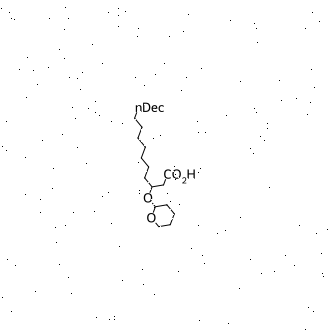 CCCCCCCCCCCCCCCCCC(CC(=O)O)OC1CCCCO1